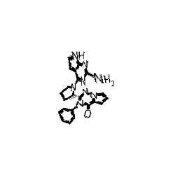 Nc1nc(N2CCC[C@H]2c2nn3cccc3c(=O)n2-c2ccccc2)c2cc[nH]c2n1